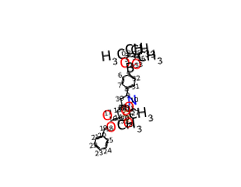 CC1(C)OB(c2ccc(C3=NO[C@@H](CC(C)(C(=O)OCc4ccccc4)S(C)(=O)=O)C3)cc2)OC1(C)C